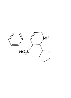 O=C(O)C1C(c2ccccc2)=CCNC1C1CCCC1